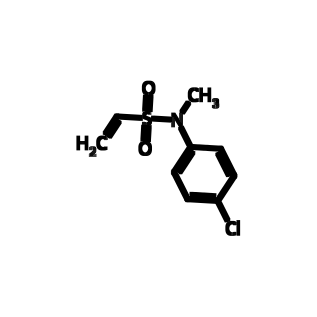 C=CS(=O)(=O)N(C)c1ccc(Cl)cc1